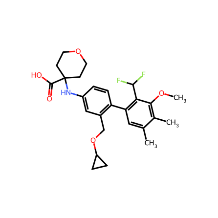 COc1c(C)c(C)cc(-c2ccc(NC3(C(=O)O)CCOCC3)cc2COC2CC2)c1C(F)F